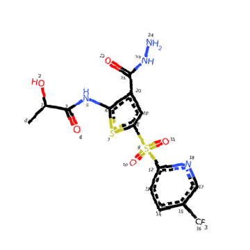 CC(O)C(=O)Nc1sc(S(=O)(=O)c2ccc(C(F)(F)F)cn2)cc1C(=O)NN